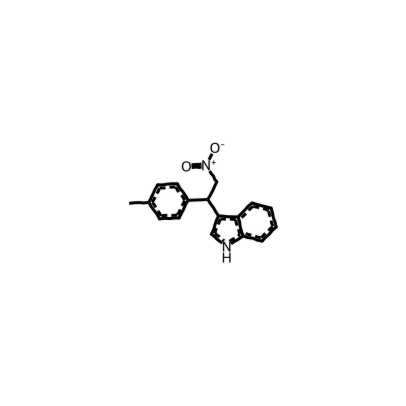 Cc1ccc(C(C[N+](=O)[O-])c2c[nH]c3ccccc23)cc1